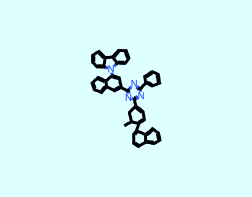 CC1CC(c2nc(-c3ccccc3)nc(-c3cc(-n4c5ccccc5c5ccccc54)c4ccccc4c3)n2)=CC=C1c1cccc2ccccc12